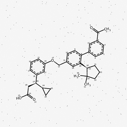 CC(=O)c1cccc(-c2ccc(COc3cccc([C@H](CC(=O)O)C4CC4)c3)cc2[C@H]2CCCC2(C)C)c1